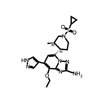 CCOc1c(-c2cn[nH]c2)cc([C@H]2CCN(S(=O)(=O)C3CC3)C[C@@H]2C)n2nc(N)nc12